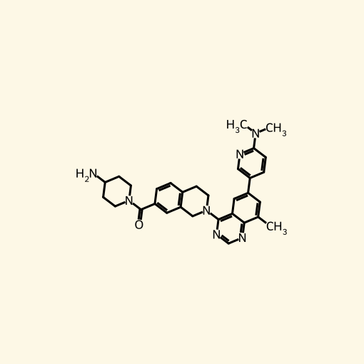 Cc1cc(-c2ccc(N(C)C)nc2)cc2c(N3CCc4ccc(C(=O)N5CCC(N)CC5)cc4C3)ncnc12